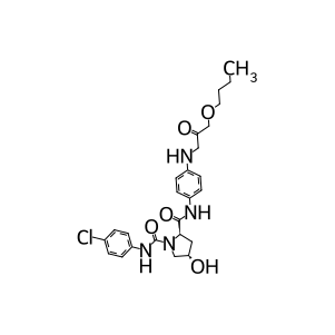 CCCCOCC(=O)CNc1ccc(NC(=O)[C@H]2C[C@@H](O)CN2C(=O)Nc2ccc(Cl)cc2)cc1